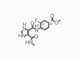 CNC(=O)C1=C(C(=O)N[C@@H]2CC[C@@H](C(=O)OC)C[C@@H]2F)NCN1